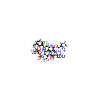 CN1CCCC1COc1nc2c(F)c(-c3cccc4c3OCCC4)ncc2c(N(C(=O)OC(C)(C)C)C2CCN(C(=O)OC(C)(C)C)C2)c1N